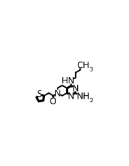 CCCCNc1nc(N)nc2c1CCN(C(=O)Cc1cccs1)C2